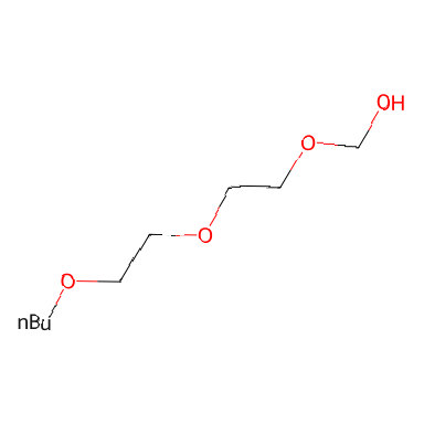 CCCCOCCOCCOCO